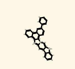 c1ccc(-c2ccc3c(c2)c2ccccc2c2nc4cc5c(cn4c32)oc2ccccc25)cc1